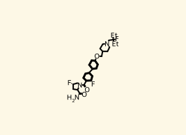 CCC(F)(CC)CN1CCC(COc2ccc(-c3ccc(C(=O)N4C[C@@H](F)CC4C(N)=O)c(F)c3)cc2)CC1